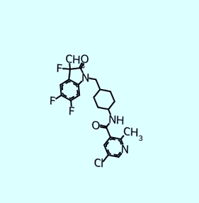 Cc1ncc(Cl)cc1C(=O)NC1CCC(CN2C(=O)C(C)(F)c3cc(F)c(F)cc32)CC1